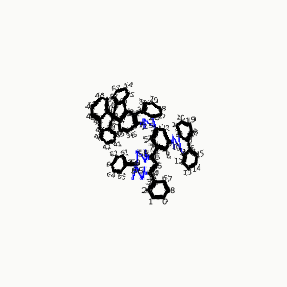 c1ccc(-c2cc(-c3cc(-n4c5ccccc5c5ccccc54)cc(-n4c5ccccc5c5c6c(ccc54)C4(c5ccccc5-c5ccccc54)c4ccccc4-6)c3)nc(-c3ccccc3)n2)cc1